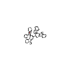 c1ccc(N(c2ccccc2)c2cc(-c3cc4c5ccccc5sc4c4c3oc3ccccc34)cc3sc4ccccc4c23)cc1